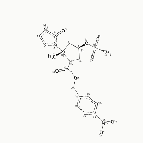 C[C@@]1(n2cc[nH]c2=O)C[C@@H](OS(C)(=O)=O)CN1C(=O)OCc1ccc([N+](=O)[O-])cc1